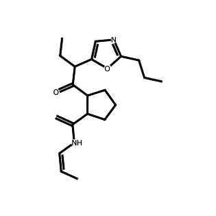 C=C(N/C=C\C)C1CCCC1C(=O)C(CC)c1cnc(CCC)o1